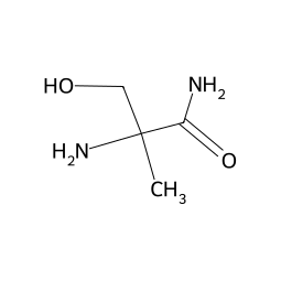 CC(N)(CO)C(N)=O